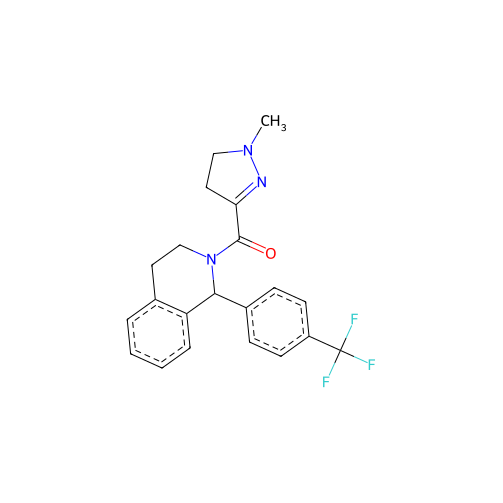 CN1CCC(C(=O)N2CCc3ccccc3C2c2ccc(C(F)(F)F)cc2)=N1